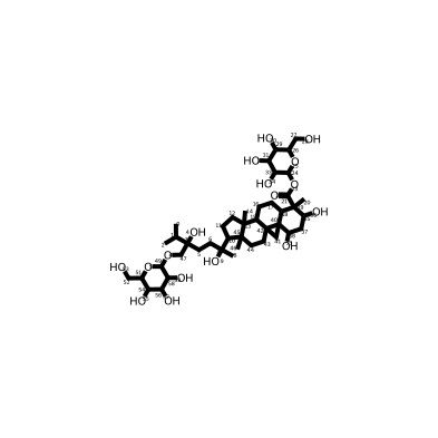 CC(C)C(O)(CCC(C)(O)C1CCC2(C)C3CCC4C(C)(C(=O)OC5OC(CO)C(O)C(O)C5O)C(O)CC(O)C45CC35CCC12C)COC1OC(CO)C(O)C(O)C1O